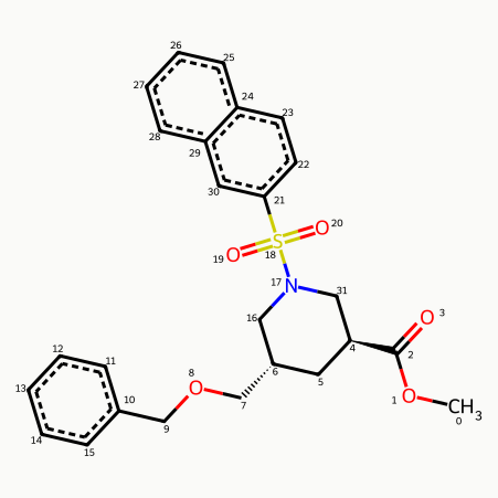 COC(=O)[C@H]1C[C@H](COCc2ccccc2)CN(S(=O)(=O)c2ccc3ccccc3c2)C1